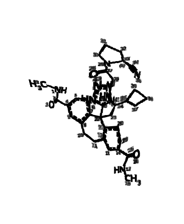 CNC(=O)c1ccc2c(c1)CCc1cc(C(=O)NC)ccc1C2(C[C@@H](NCC(=O)N1CCC[C@H]1C#N)C1CCC1)c1nnn[nH]1